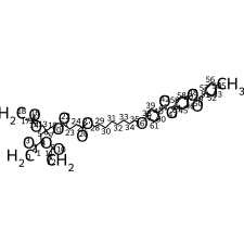 C=CC(=O)CCC(COC(=O)C=C)(COC(=O)C=C)COC(=O)CCC(=O)OCCCCCCCCOc1ccc(C(=O)Oc2ccc(OC(=O)c3ccc(C)cc3)cc2)cc1